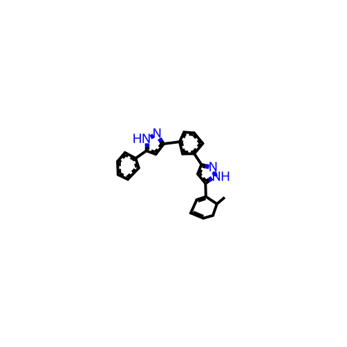 CC1CC=CC=C1c1cc(-c2cccc(-c3cc(-c4ccccc4)[nH]n3)c2)n[nH]1